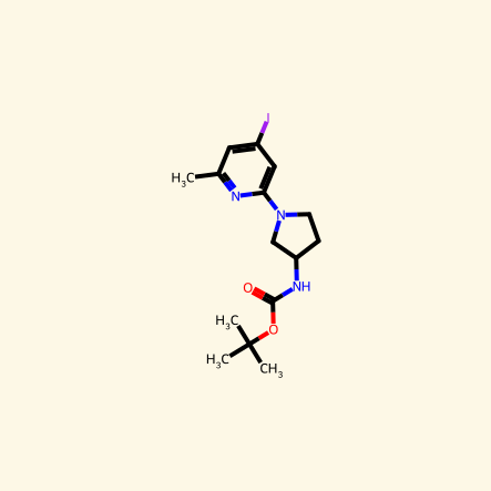 Cc1cc(I)cc(N2CCC(NC(=O)OC(C)(C)C)C2)n1